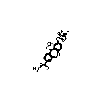 COC(=O)c1ccc2c(c1)COc1ccc(OS(=O)(=O)C(F)(F)F)cc1C2OC